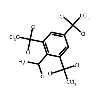 CC([O])c1c(C(Cl)(Cl)C(Cl)(Cl)Cl)cc(C(Cl)(Cl)C(Cl)(Cl)Cl)cc1C(Cl)(Cl)C(Cl)(Cl)Cl